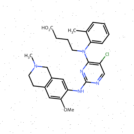 COc1cc2c(cc1Nc1ncc(Cl)c(N(CCCC(=O)O)c3ccccc3C)n1)CN(C)CC2